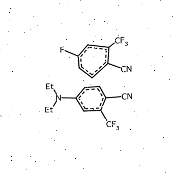 CCN(CC)c1ccc(C#N)c(C(F)(F)F)c1.N#Cc1ccc(F)cc1C(F)(F)F